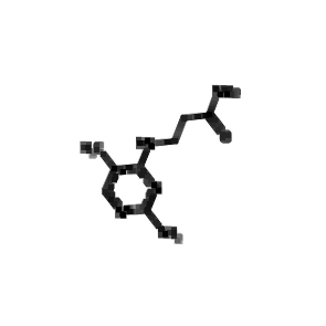 CNC(=O)CCNc1nc(N)ncc1C